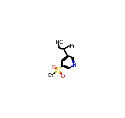 [C-]#[N+]CC(c1cncc(S(=O)(=O)CC)c1)C(C)C